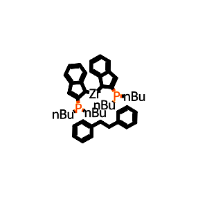 CCCCP(CCCC)C1=Cc2ccccc2[CH]1[Zr][CH]1C(P(CCCC)CCCC)=Cc2ccccc21.c1ccc(CCc2ccccc2)cc1